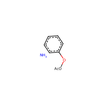 CC(=O)OOc1ccccc1.N